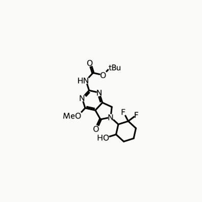 COc1nc(NC(=O)OC(C)(C)C)nc2c1C(=O)N(C1C(O)CCCC1(F)F)C2